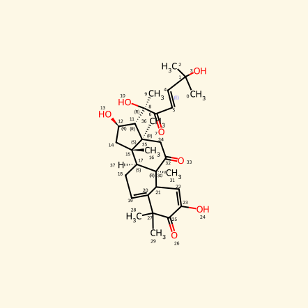 CC(C)(O)/C=C/C(=O)[C@](C)(O)[C@H]1[C@H](O)C[C@@]2(C)[C@@H]3CC=C4C(C=C(O)C(=O)C4(C)C)[C@]3(C)C(=O)C[C@]12C